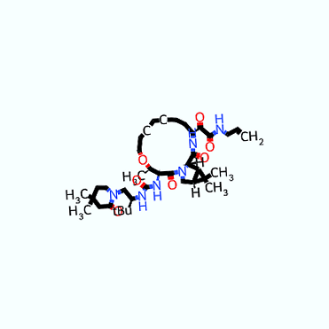 C=CCNC(=O)C(=O)[C@@H]1CCCCCCCO[C@@H](C)[C@H](NC(=O)N[C@H](CN2CCC(C)(C)CC2=O)C(C)(C)C)C(=O)N2C[C@H]3C([C@H]2C(=O)N1)C3(C)C